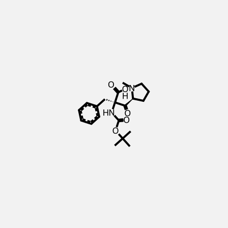 CN1CCC[C@H]1C(=O)[C@@](Cc1ccccc1)(NC(=O)OC(C)(C)C)C(=O)O